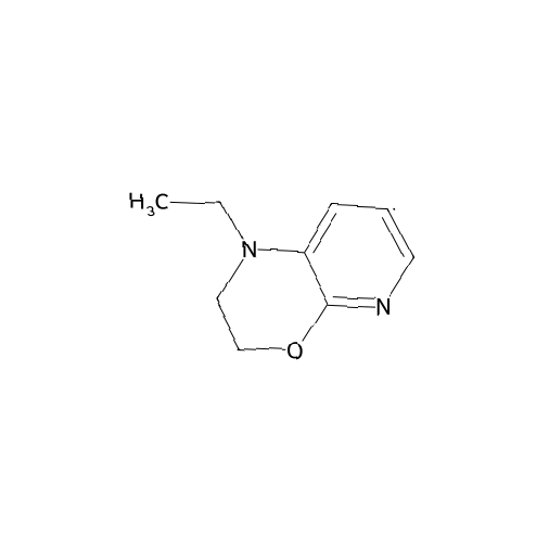 CCN1CCOc2nc[c]cc21